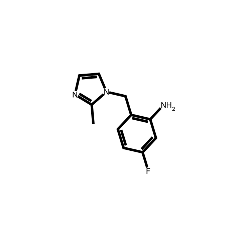 Cc1nccn1Cc1ccc(F)cc1N